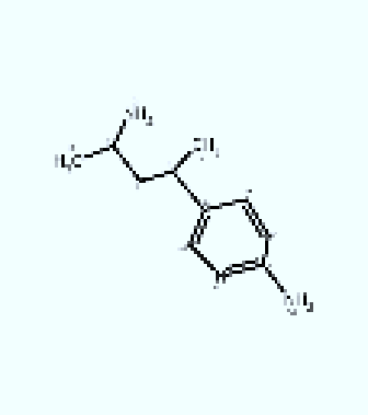 CC(N)CC(C)c1ccc(N)nc1